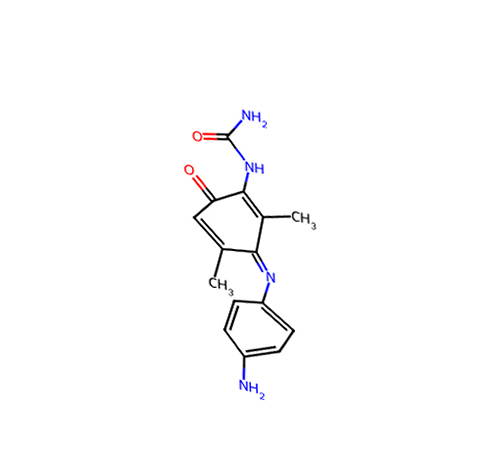 CC1=CC(=O)C(NC(N)=O)=C(C)C1=Nc1ccc(N)cc1